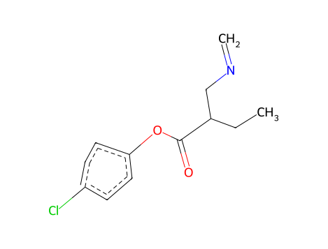 C=NCC(CC)C(=O)Oc1ccc(Cl)cc1